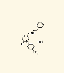 Cl.O=C1COC(CNCCc2ccccc2)CN1c1ccc(C(F)(F)F)cc1